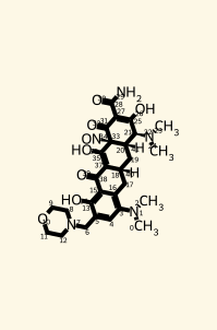 CN(C)c1cc(CN2CCOCC2)c(O)c2c1C[C@H]1C[C@H]3[C@H](N(C)C)C(O)=C(C(N)=O)C(=O)[C@@]3(N=O)C(O)=C1C2=O